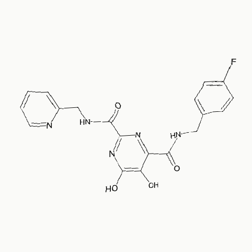 O=C(NCc1ccccn1)c1nc(O)c(O)c(C(=O)NCc2ccc(F)cc2)n1